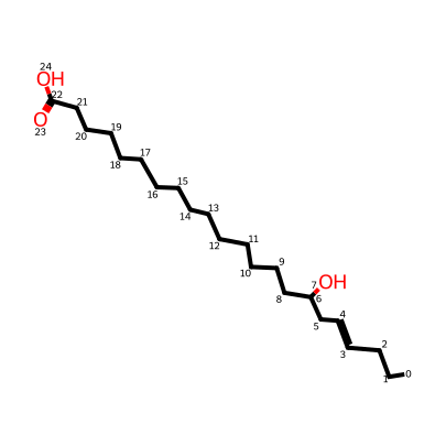 CCCC=CCC(O)CCCCCCCCCCCCCCC(=O)O